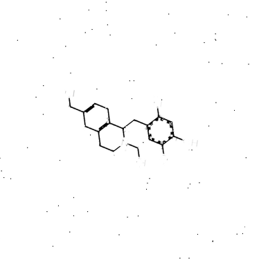 OCC1=CCC2=C(CCN(CO)C2Cc2cc(O)c(O)cc2Cl)C1